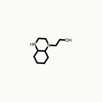 OCCN1CCNC2CCCCC21